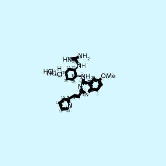 COc1ccc2nc(/C=C/c3ccccn3)nc(N[C@H]3CCCC[C@H]3NC(=N)N)c2c1.Cl.Cl.Cl